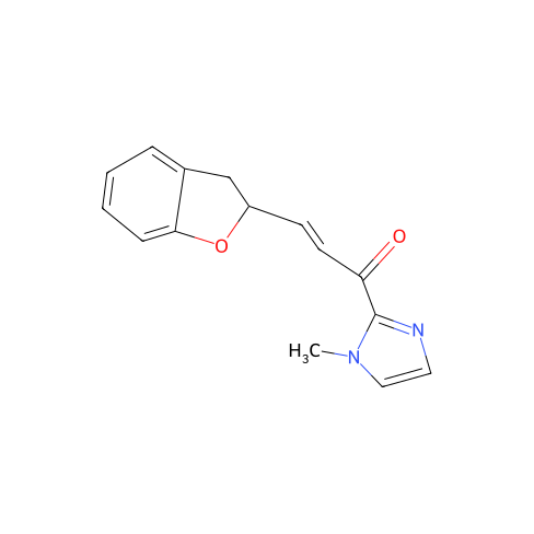 Cn1ccnc1C(=O)C=CC1Cc2ccccc2O1